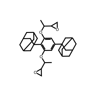 CC(Oc1cc(C23CC4CC(CC(C4)C2)C3)cc(OC(C)C2CO2)c1C12CC3CC(CC(C3)C1)C2)C1CO1